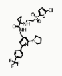 O=C(NCc1cc(-c2ccc(C(F)(F)F)cc2)nc(N2CCCC2)c1)C1(NCCS(=O)(=O)c2ccc(Cl)s2)CC1